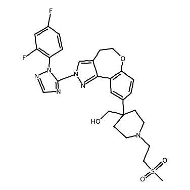 CS(=O)(=O)CCN1CCC(CO)(c2ccc3c(c2)-c2nn(-c4ncnn4-c4ccc(F)cc4F)cc2CCO3)CC1